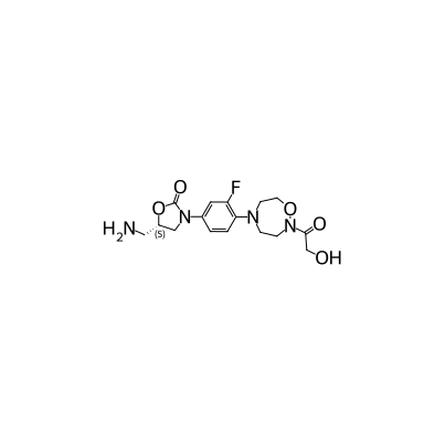 NC[C@H]1CN(c2ccc(N3CCON(C(=O)CO)CC3)c(F)c2)C(=O)O1